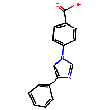 O=C(O)c1ccc(-n2cnc(-c3ccccc3)c2)cc1